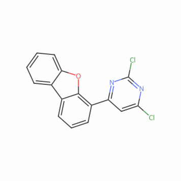 Clc1cc(-c2cccc3c2oc2ccccc23)nc(Cl)n1